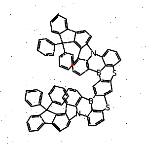 c1ccc(C2(c3ccccc3)c3ccccc3-c3ccc4c(c32)c2cccc3c2n4-c2cccc4c2B3c2cc3c(cc2S4)Sc2cccc4c2B3c2cccc3c5c6c(ccc5n-4c23)-c2ccccc2C6(c2ccccc2)c2ccccc2)cc1